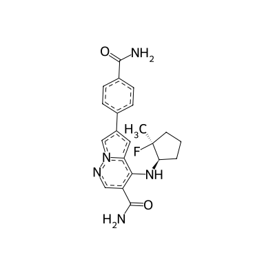 C[C@]1(F)CCC[C@H]1Nc1c(C(N)=O)cnn2cc(-c3ccc(C(N)=O)cc3)cc12